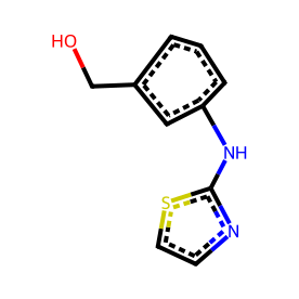 OCc1cccc(Nc2nccs2)c1